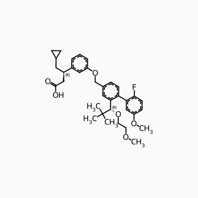 COCCO[C@@H](c1cc(COc2cccc([C@@H](CC(=O)O)CC3CC3)c2)ccc1-c1cc(OC)ccc1F)C(C)(C)C